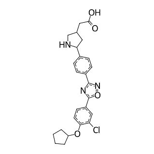 O=C(O)CC1CNC(c2ccc(-c3noc(-c4ccc(OC5CCCC5)c(Cl)c4)n3)cc2)C1